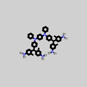 CCN(CC)c1ccc(C(c2ccc(N(c3ccccc3)c3ccc(N(c4ccccc4)c4ccc(C(c5ccc(N(CC)CC)cc5C)c5ccc(N(CC)CC)cc5C)cc4)cc3)cc2)c2ccc(N(CC)CC)cc2C)c(C)c1